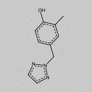 Cc1cc(Cn2nccn2)ccc1O